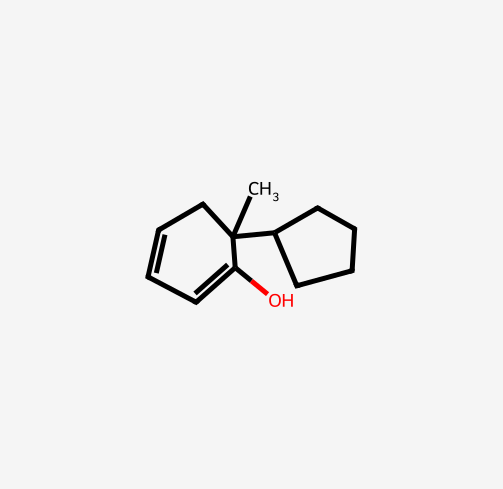 CC1(C2CCCC2)CC=CC=C1O